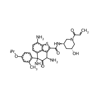 C=CC(=O)N1C[C@H](O)C[C@@H](NC(=O)c2sc3c(N)ccc4c3c2C(N)C(=O)C4(N)c2ccc(OC(C)C)cc2C)C1